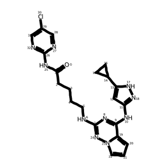 O=C(CCCCNc1nc(Nc2cc(C3CC3)[nH]n2)c2cccn2n1)Nc1ncc(Cl)cn1